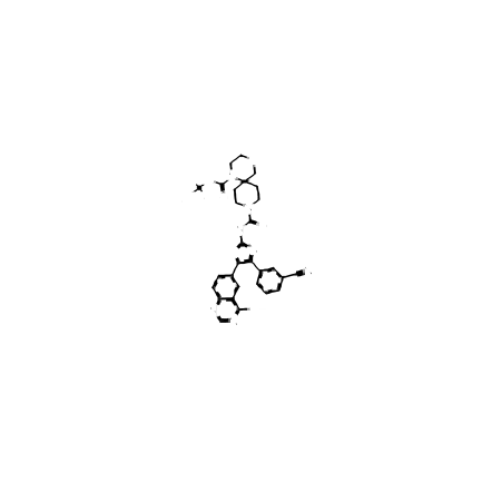 Cc1ncnc2ccc(-c3sc(NC(=O)N4CCC5(CC4)COCCN5C(=O)OC(C)(C)C)nc3-c3cccc(C#N)c3)cc12